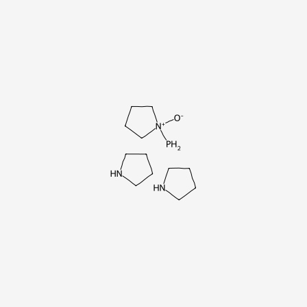 C1CCNC1.C1CCNC1.[O-][N+]1(P)CCCC1